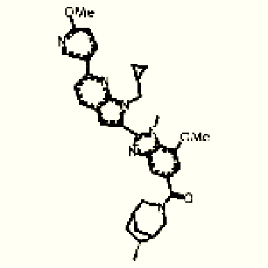 COc1ccc(-c2ccc3cc(-c4nc5cc(C(=O)N6CC7CC(C6)[C@@H](C)C7)cc(OC)c5n4C)n(CC4CC4)c3n2)cn1